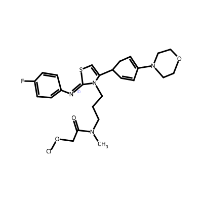 CN(CCCn1c(C2C=CC(N3CCOCC3)=CC2)cs/c1=N\c1ccc(F)cc1)C(=O)COCl